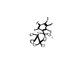 Fc1c(F)c(F)c(C2(C(F)(F)F)OC(Cl)(Cl)C(Cl)(Cl)O2)c(F)c1F